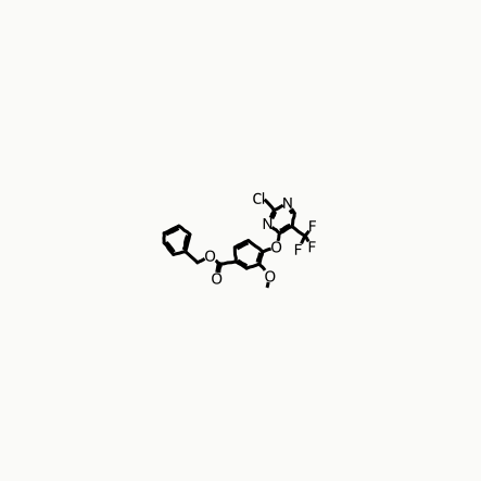 COc1cc(C(=O)OCc2ccccc2)ccc1Oc1nc(Cl)ncc1C(F)(F)F